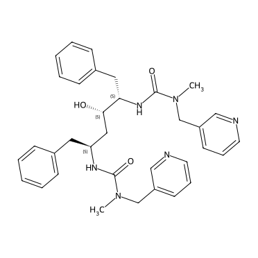 CN(Cc1cccnc1)C(=O)N[C@@H](Cc1ccccc1)C[C@H](O)[C@H](Cc1ccccc1)NC(=O)N(C)Cc1cccnc1